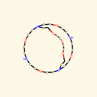 C1COCCN2CCOCCNCCOCCN(CCOCCN1)CCOCCOCCOCC2